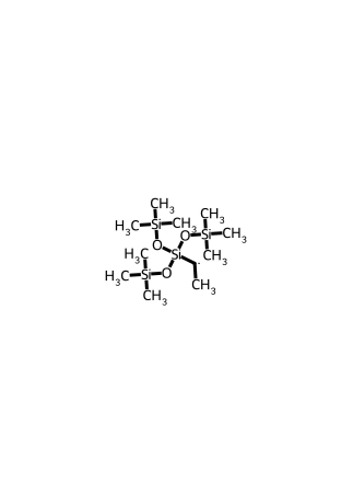 C[CH][Si](O[Si](C)(C)C)(O[Si](C)(C)C)O[Si](C)(C)C